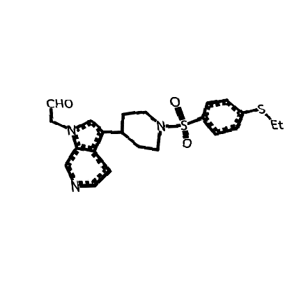 CCSc1ccc(S(=O)(=O)N2CCC(c3cn(CC=O)c4cnccc34)CC2)cc1